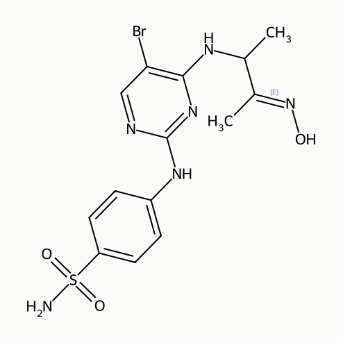 C/C(=N\O)C(C)Nc1nc(Nc2ccc(S(N)(=O)=O)cc2)ncc1Br